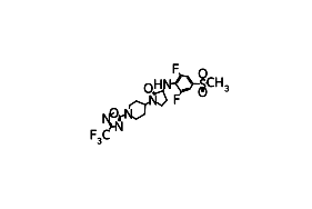 CS(=O)(=O)c1cc(F)c(NC2CCN(C3CCN(c4nc(C(F)(F)F)no4)CC3)C2=O)c(F)c1